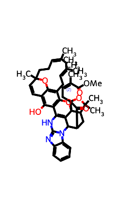 COC(=O)/C(C)=C\CC12OC(C)(C)C3CC(C1=O)C1C4=C(Nc5nc6ccccc6n51)c1c(O)c5c(c(CC=C(C)C)c1OC432)OC(C)(CCC=C(C)C)C=C5